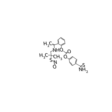 C=C(NCC(C)(C)SN=O)c1ccccc1OC(=O)Oc1ccc(C(N)=S)cc1